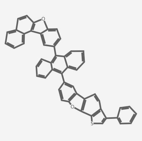 c1ccc(-c2csc3c2ccc2c4cc(-c5c6ccccc6c(-c6ccc7oc8ccc9ccccc9c8c7c6)c6ccccc56)ccc4oc23)cc1